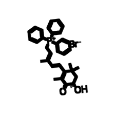 CC(C=CC1=C(C)C(=O)[C@H](O)CC1(C)C)=CC[P+](c1ccccc1)(c1ccccc1)c1ccccc1.[Br-]